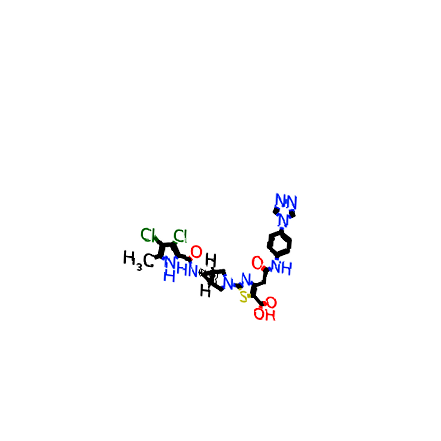 Cc1[nH]c(C(=O)N[C@@H]2[C@@H]3CN(c4nc(CC(=O)Nc5ccc(-n6cnnc6)cc5)c(C(=O)O)s4)C[C@@H]32)c(Cl)c1Cl